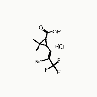 CC1(C)C(C=C(Br)C(F)(F)F)C1C(=O)O.Cl